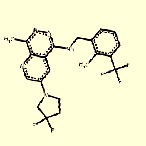 Cc1c(CNc2nnc(C)c3ncc(N4CCC(F)(F)C4)cc23)cccc1C(F)(F)F